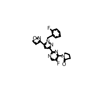 O=C1CCCN1c1nc(-c2cc(-c3ccon3)n(Cc3ccccc3F)n2)ncc1F